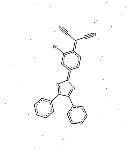 N#CC(C#N)=c1ccc(=C2N=C(c3ccccc3)C(c3ccccc3)=N2)cc1Br